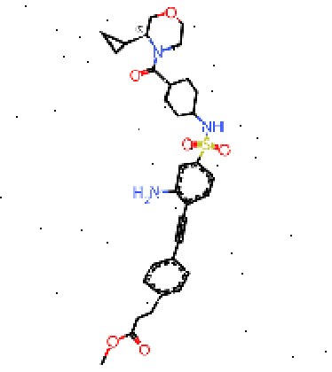 COC(=O)CCc1ccc(C#Cc2ccc(S(=O)(=O)NC3CCC(C(=O)N4CCOC[C@@H]4C4CC4)CC3)cc2N)cc1